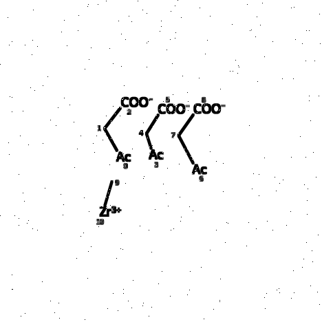 CC(=O)CC(=O)[O-].CC(=O)CC(=O)[O-].CC(=O)CC(=O)[O-].[CH3][Zr+3]